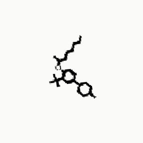 CCCCCCC(C)Oc1ccc(C2CCC(C)CC2)cc1C(C)(C)C